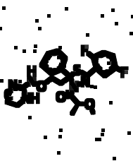 CO[C@@H](C)C(=O)N1N=C(c2cc(F)ccc2F)SC1(CCONC1=NCCCN1)c1ccccc1